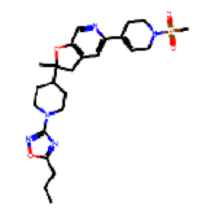 CCCc1nc(N2CCC(C3(C)Cc4cc(C5=CCN(S(C)(=O)=O)CC5)ncc4O3)CC2)no1